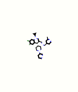 Cc1cc(CN(CC2=CN(C3CC3)c3cc(Cl)c(F)cc3C2)[C@H]2CCCN(c3cccnc3)C2)ccn1